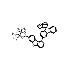 CC1(C)OB(c2ccc3c(c2)oc2cccc(-c4ccc5c(c4)-c4ccccc4C54C5CC6CC(C5)C4C6)c23)OC1(C)C